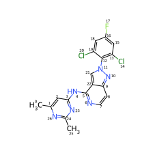 Cc1cc(Nc2nccc3nn(-c4c(Cl)cc(F)cc4Cl)cc23)nc(C)n1